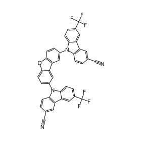 N#Cc1ccc2c(c1)c1cc(C(F)(F)F)ccc1n2-c1ccc2oc3ccc(-n4c5ccc(C#N)cc5c5cc(C(F)(F)F)ccc54)cc3c2c1